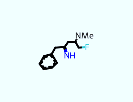 CNC(CF)CC(=N)Cc1ccccc1